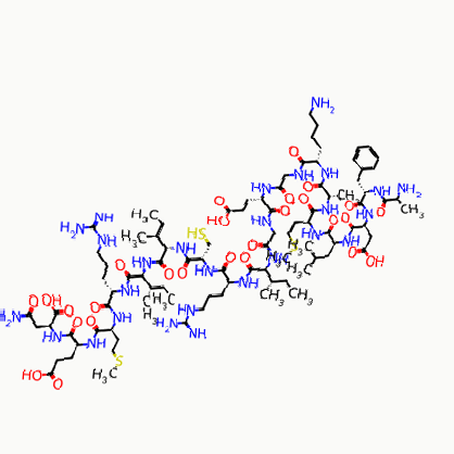 CC[C@H](C)[C@H](NC(=O)CNC(=O)[C@H](CCC(=O)O)NC(=O)CNC(=O)[C@H](CCCCN)NC(=O)[C@H](C)NC(=O)[C@H](CCSC)NC(=O)[C@H](CC(C)C)NC(=O)[C@H](CC(=O)O)NC(=O)[C@H](Cc1ccccc1)NC(=O)[C@H](C)N)C(=O)N[C@@H](CCCNC(=N)N)C(=O)N[C@@H](CS)C(=O)N[C@H](C(=O)N[C@H](C(=O)N[C@@H](CCCNC(=N)N)C(=O)N[C@@H](CCSC)C(=O)N[C@@H](CCC(=O)O)C(=O)N[C@@H](CC(N)=O)C(=O)O)[C@@H](C)CC)[C@@H](C)CC